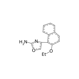 CCOc1ccc2ccccc2c1-c1coc(N)n1